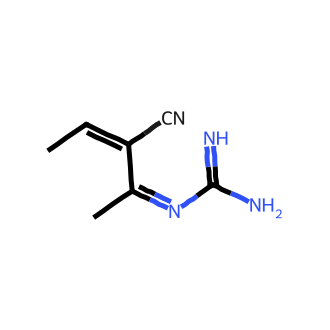 C/C=C(C#N)\C(C)=N/C(=N)N